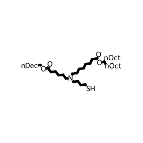 CCCCCCCCCCCOC(=O)CCCCCN(CCCCS)CCCCCCCC(=O)OC(CCCCCCCC)CCCCCCCC